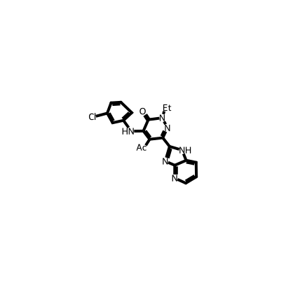 CCn1nc(-c2nc3ncccc3[nH]2)c(C(C)=O)c(Nc2cccc(Cl)c2)c1=O